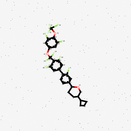 Fc1cc(C2CCC(C3CCC3)CO2)ccc1-c1cc(F)c(C(F)(F)Oc2cc(F)c(OC(F)(F)F)c(F)c2)c(F)c1